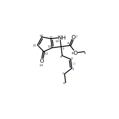 CC/C=C\CC1(C(=O)OC)NC2=C1C(=O)C=C2